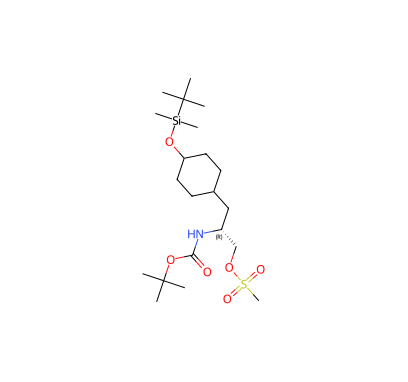 CC(C)(C)OC(=O)N[C@@H](COS(C)(=O)=O)CC1CCC(O[Si](C)(C)C(C)(C)C)CC1